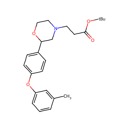 Cc1cccc(Oc2ccc(C3CN(CCC(=O)OC(C)(C)C)CCO3)cc2)c1